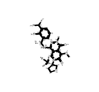 COc1c(=O)n([C@]2(C(F)(F)F)CCOC2)cc2c(N[C@H](C)c3cccc(C(F)F)c3F)nn(C)c(=O)c12